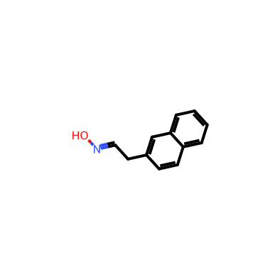 ON=CCc1ccc2ccccc2c1